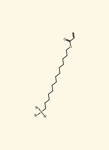 C=CC(=O)OCCCCCCCCCCCCCC[Si](Br)(Br)Br